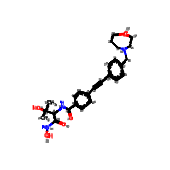 CC(C)(O)C(NC(=O)c1ccc(C#Cc2ccc(CN3CCCOCC3)cc2)cc1)C(=O)NO